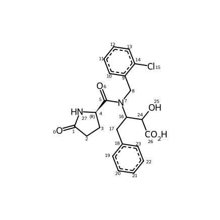 O=C1CC[C@H](C(=O)N(Cc2ccccc2Cl)C(Cc2ccccc2)C(O)C(=O)O)N1